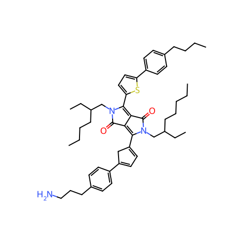 CCCCCC(CC)CN1C(=O)C2=C(c3ccc(-c4ccc(CCCC)cc4)s3)N(CC(CC)CCCC)C(=O)C2=C1C1=CC=C(c2ccc(CCCN)cc2)C1